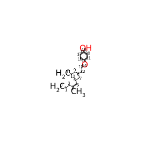 C=CCC(C)=CCCC(CC=C)CCOc1ccc(O)cc1